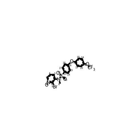 CN(c1ccc[n+]([O-])c1Br)S(=O)(=O)c1ccc(Oc2ccc(OC(F)(F)F)cc2)cc1